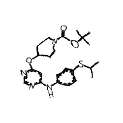 CC(C)Sc1ccc(Nc2cc(OC3CCN(C(=O)OC(C)(C)C)CC3)ncn2)cc1